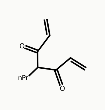 C=CC(=O)C(CCC)C(=O)C=C